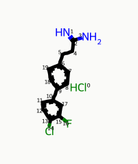 Cl.N=C(N)CCc1ccc(-c2ccc(Cl)c(F)c2)cc1